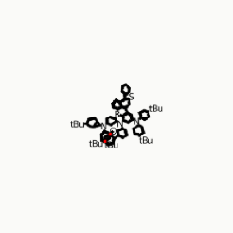 CC(C)(C)C1=CCC(N(c2ccc(C(C)(C)C)cc2)c2cc3c4c(c2)N(C2C=CC=C5c6ccc(C(C)(C)C)cc6OC52)C2CC(N(c5ccc(C(C)(C)C)cc5)C5C6C=CC(C(C)(C)C)CC65)=CC=C2B4c2cccc4c2c-3cc2sc3ccccc3c24)C=C1